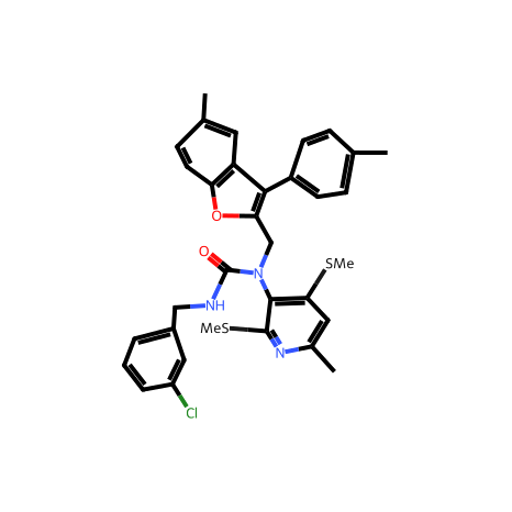 CSc1cc(C)nc(SC)c1N(Cc1oc2ccc(C)cc2c1-c1ccc(C)cc1)C(=O)NCc1cccc(Cl)c1